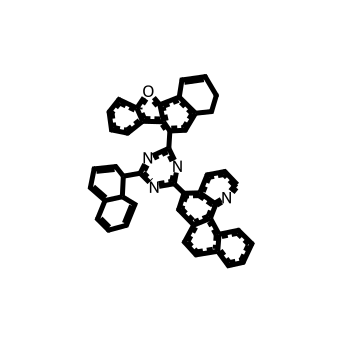 C1=CC2=CC=CC(c3nc(-c4cc5ccc6ccccc6c5c5ncccc45)nc(-c4cc5c(c6oc7ccccc7c46)C=CCC5)n3)C2C=C1